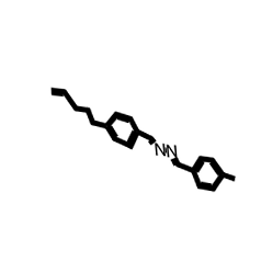 C=CCCCc1ccc(C=NN=Cc2ccc(C)cc2)cc1